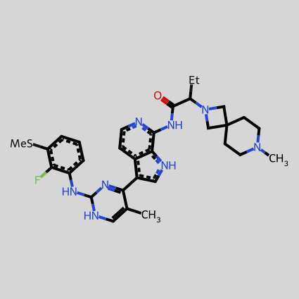 CCC(C(=O)Nc1nccc2c(C3=NC(Nc4cccc(SC)c4F)NC=C3C)c[nH]c12)N1CC2(CCN(C)CC2)C1